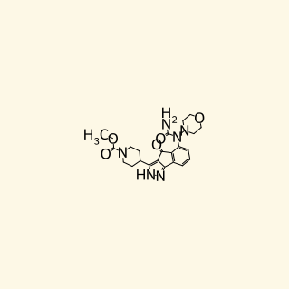 COC(=O)N1CCC(c2[nH]nc3c2C(=O)c2c-3cccc2N(C(N)=O)N2CCOCC2)CC1